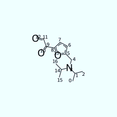 CC(C)N(Cc1ccc(C(=O)C=O)o1)C(C)C